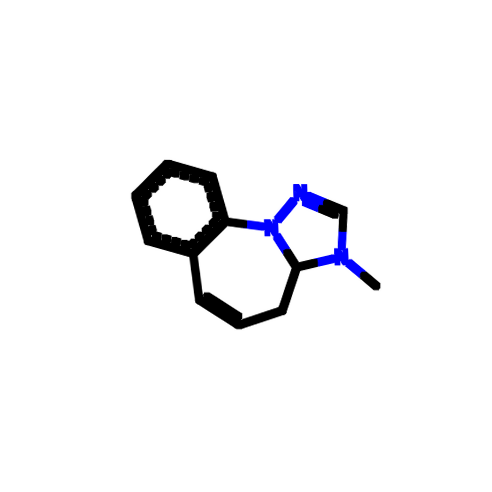 CN1C=NN2c3ccccc3C=CCC12